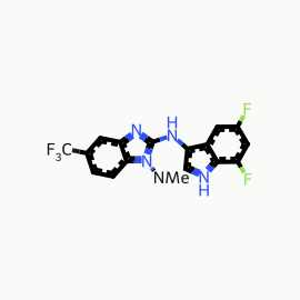 CNn1c(Nc2c[nH]c3c(F)cc(F)cc23)nc2cc(C(F)(F)F)ccc21